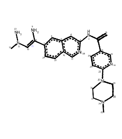 C=C(Nc1cc2cc(/C(N)=C/N(C)N)ccc2cn1)c1ccc(N2CCN(C)CC2)nc1